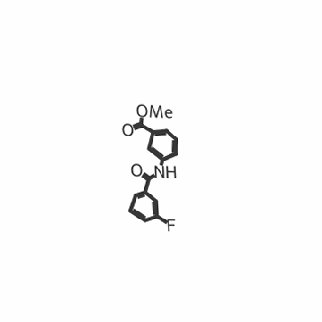 COC(=O)c1cccc(NC(=O)c2cccc(F)c2)c1